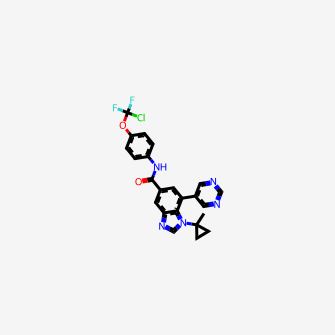 CC1(n2cnc3cc(C(=O)Nc4ccc(OC(F)(F)Cl)cc4)cc(-c4cncnc4)c32)CC1